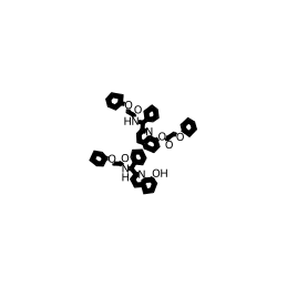 O=C(COc1ccccc1)NC(c1ccccc1)c1ccc2cccc(O)c2n1.O=C(COc1ccccc1)NC(c1ccccc1)c1ccc2cccc(OC(=O)COc3ccccc3)c2n1